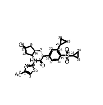 CC(=O)c1csc(NC(=O)[C@H](C[C@H]2CCC(=O)C2)c2ccc(S(=O)(=O)C3CC3)c(C3CC3)c2)n1